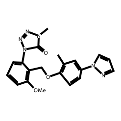 COc1cccc(-n2nnn(C)c2=O)c1COc1ccc(-n2cccn2)cc1C